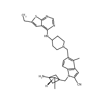 Cc1c(CN2CCC(Nc3ncnc4sc(CC(F)(F)F)cc34)CC2)ccc2c1cc(C#N)n2CC12CC(N)(C1)[C@H]2C